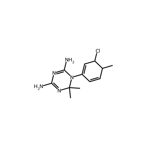 CC1C=CC(N2C(N)=NC(N)=NC2(C)C)=CC1Cl